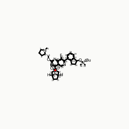 CN1CCC[C@H]1COc1nc(N2C[C@H]3CC[C@@H](C2)N3C(=O)OC(C)(C)C)c2cnc(-c3cccc4c3CCC4O[Si](C)(C)C(C)(C)C)c(F)c2n1